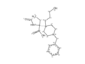 CCC(NC=O)(C(=O)O)C1(SCCO)CCN(Cc2ccccc2)CC1